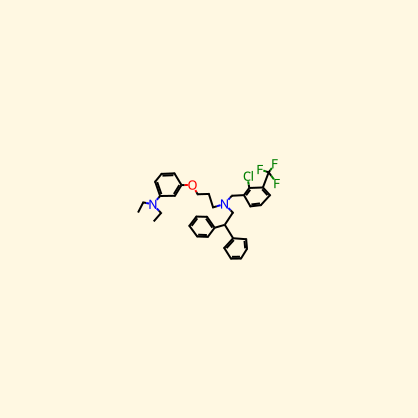 CCN(CC)c1cccc(OCCCN(Cc2cccc(C(F)(F)F)c2Cl)CC(c2ccccc2)c2ccccc2)c1